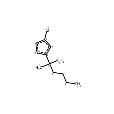 CCCCC(C)(C)c1cc(Cl)co1